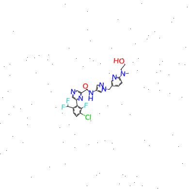 CN(CCO)c1ccc(Cn2cc(NC(=O)c3cncc(-c4c(C(F)F)ccc(Cl)c4F)n3)cn2)cn1